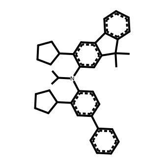 CC(C)N(c1ccc(-c2ccccc2)cc1C1CCCC1)c1cc2c(cc1C1CCCC1)-c1ccccc1C2(C)C